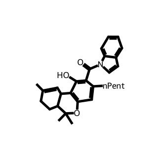 CCCCCc1cc2c(c(O)c1C(=O)n1ccc3ccccc31)C1C=C(C)CCC1C(C)(C)O2